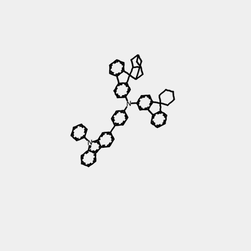 c1ccc(-n2c3ccccc3c3ccc(-c4ccc(N(c5ccc6c(c5)-c5ccccc5C65CCCCC5)c5ccc6c(c5)C5(c7ccccc7-6)C6CC7CC(C6)C5C7)cc4)cc32)cc1